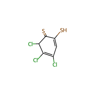 S=C1C(S)=CC(Cl)=C(Cl)C1Cl